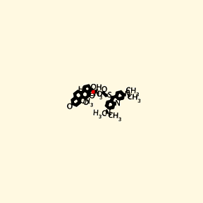 CN(C)c1ccc2c(SCC(=O)OCC(=O)[C@@]3(O)CCC4[C@@H]5CCC6=CC(=O)C=C[C@]6(C)C5C(=O)C[C@@]43C)c3ccc(N(C)C)cc3nc2c1